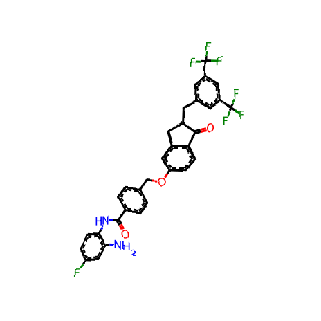 Nc1cc(F)ccc1NC(=O)c1ccc(COc2ccc3c(c2)CC(Cc2cc(C(F)(F)F)cc(C(F)(F)F)c2)C3=O)cc1